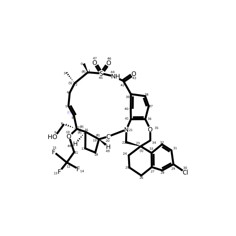 C[C@@H]1[C@@H](C)C/C=C/[C@](CO)(OCC(F)(F)F)[C@@H]2CC[C@H]2CN2C[C@@]3(CCCc4cc(Cl)ccc43)COc3ccc(cc32)C(=O)NS1(=O)=O